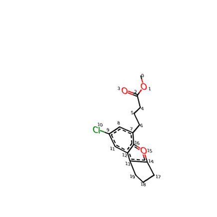 COC(=O)CCCc1cc(Cl)cc2c3c(oc12)CCC3